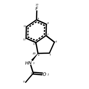 CC(=O)N[C@@H]1CCc2cc(F)ccc21